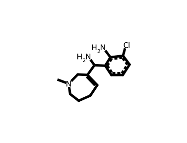 CN1CCCC=C(C(N)c2cccc(Cl)c2N)C1